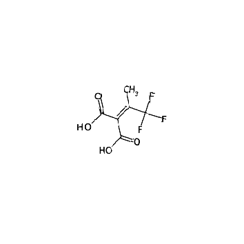 CC(=C(C(=O)O)C(=O)O)C(F)(F)F